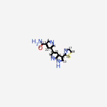 NC(=O)c1cncc(-c2cnc3[nH]cc(C4=NCCS4)c3c2)c1